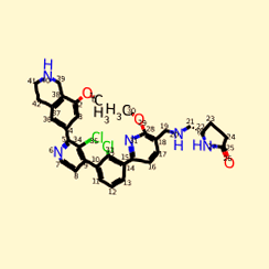 COc1cc(-c2nccc(-c3cccc(-c4ccc(CNC[C@@H]5CCC(=O)N5)c(OC)n4)c3Cl)c2Cl)cc2c1CNCC2